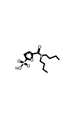 CCCCN(CCCC)C(=O)c1ccc(S(=O)(=O)O)o1